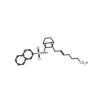 O=C(O)CCC/C=C/CC1C2CCC(CC2)C1NS(=O)(=O)c1ccc2ccccc2c1